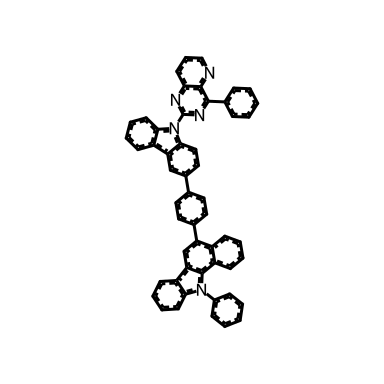 c1ccc(-c2nc(-n3c4ccccc4c4cc(-c5ccc(-c6cc7c8ccccc8n(-c8ccccc8)c7c7ccccc67)cc5)ccc43)nc3cccnc23)cc1